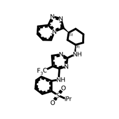 CC(C)S(=O)(=O)c1ccccc1Nc1nc(N[C@@H]2CCC[C@H](c3nnc4ccccn34)C2)ncc1C(F)(F)F